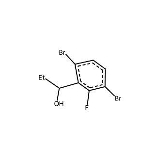 CCC(O)c1c(Br)ccc(Br)c1F